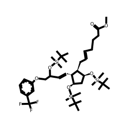 COC(=O)CCCC=CC[C@@H]1[C@@H](C=CC(COc2cccc(C(F)(F)F)c2)O[Si](C)(C)C(C)(C)C)[C@H](O[Si](C)(C)C(C)(C)C)C[C@@H]1O[Si](C)(C)C(C)(C)C